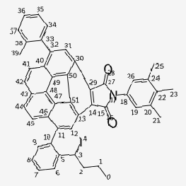 CCCC(I)c1ccccc1-c1cc2c3c(=O)n(-c4cc(C)c(C)c(C)c4)c(=O)c3c3cc(-c4ccccc4C)c4ccc5ccc1c1c5c4c3c21